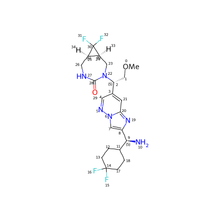 COC[C@H](c1cnn2cc([C@@H](N)C3CCC(F)(F)CC3)nc2c1)N1C[C@H]2[C@@H](CNC1=O)C2(F)F